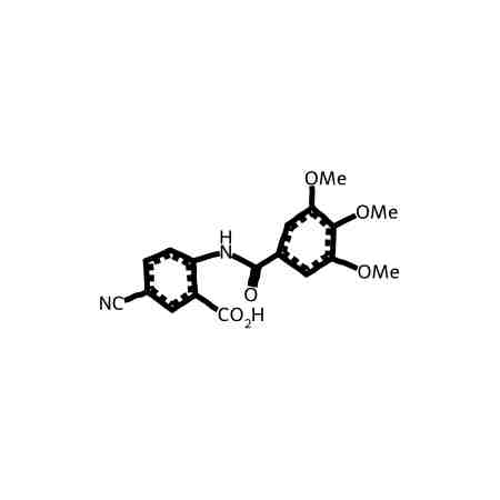 COc1cc(C(=O)Nc2ccc(C#N)cc2C(=O)O)cc(OC)c1OC